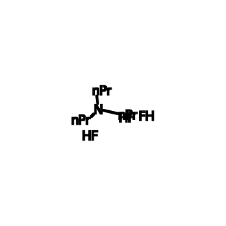 CCCN(CCC)CCC.F.F.F